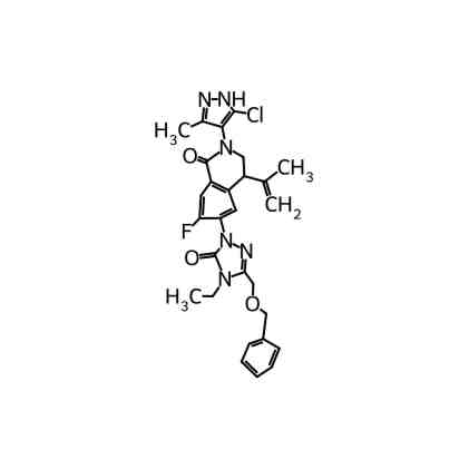 C=C(C)C1CN(c2c(C)n[nH]c2Cl)C(=O)c2cc(F)c(-n3nc(COCc4ccccc4)n(CC)c3=O)cc21